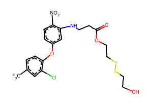 O=C(CCNc1cc(Oc2ccc(C(F)(F)F)cc2Cl)ccc1[N+](=O)[O-])OCCSSCCO